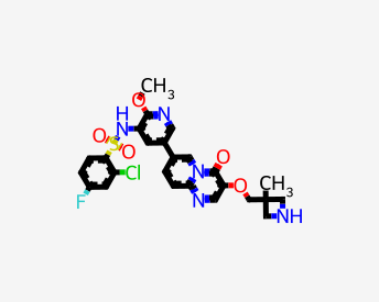 COc1ncc(-c2ccc3ncc(OCC4(C)CNC4)c(=O)n3c2)cc1NS(=O)(=O)c1ccc(F)cc1Cl